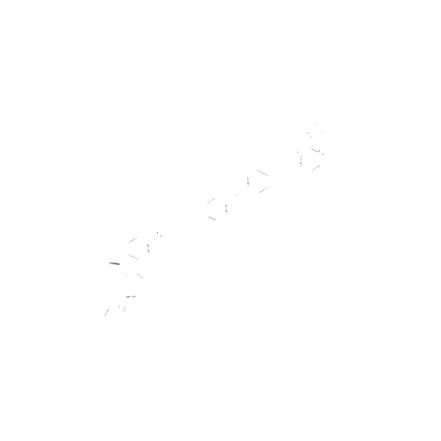 CC(C)(c1ccc(OCc2ccnc(NS(C)(=O)=O)n2)cc1)c1ccc(OCC2CN(c3ccc4c(c3)C(=O)N(C3CCC(=O)NC3=O)C4=O)C2)cc1